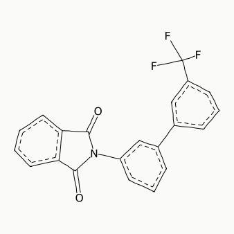 O=C1c2ccccc2C(=O)N1c1cccc(-c2cccc(C(F)(F)F)c2)c1